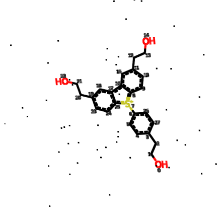 OCCc1ccc(-[s+]2c3ccc(CCO)cc3c3cc(CCO)ccc32)cc1